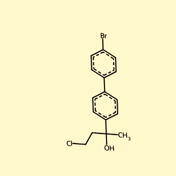 CC(O)(CCCl)c1ccc(-c2ccc(Br)cc2)cc1